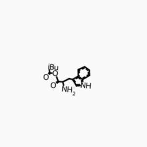 CCC(C)C(=O)OC(=O)C(N)Cc1c[nH]c2ccccc12